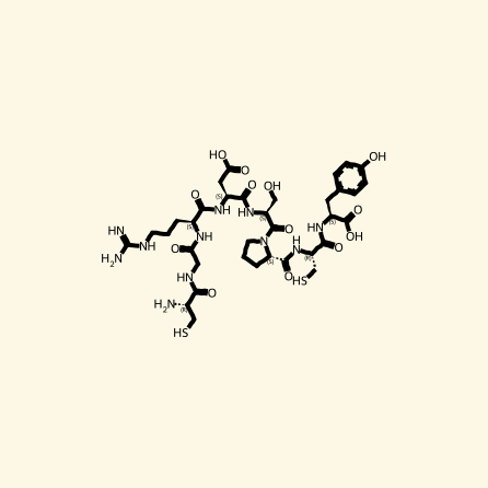 N=C(N)NCCC[C@H](NC(=O)CNC(=O)[C@@H](N)CS)C(=O)N[C@@H](CC(=O)O)C(=O)N[C@@H](CO)C(=O)N1CCC[C@H]1C(=O)N[C@@H](CS)C(=O)N[C@@H](Cc1ccc(O)cc1)C(=O)O